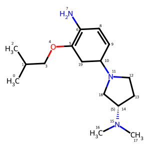 CC(C)COC1=C(N)C=CC(N2CC[C@H](N(C)C)C2)C1